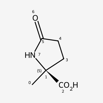 C[C@@]1(C(=O)O)CCC(=O)N1